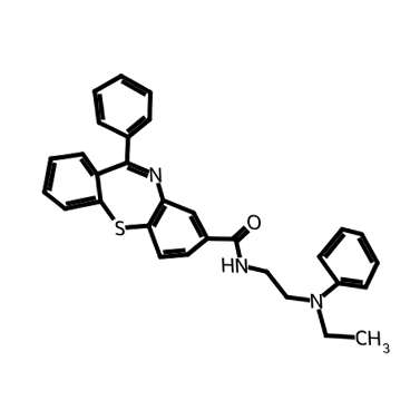 CCN(CCNC(=O)c1ccc2c(c1)N=C(c1ccccc1)c1ccccc1S2)c1ccccc1